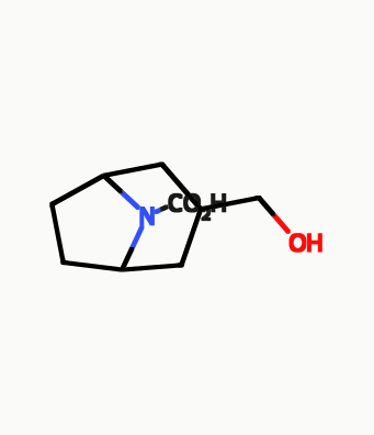 O=C(O)N1C2CCC1CC(CO)C2